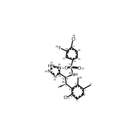 Cc1ccc(Cl)c([C@@H](C)[C@H](NS(=O)(=O)c2ccc(Cl)c(F)c2)c2nn[nH]n2)c1C